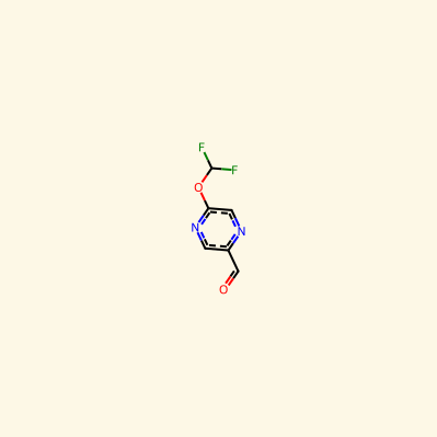 O=Cc1cnc(OC(F)F)cn1